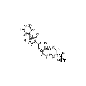 Cc1cc(C=Cc2ccc3cc(N(C)C(C)C)ccc3[n+]2C)c(C)n1-c1ccccc1